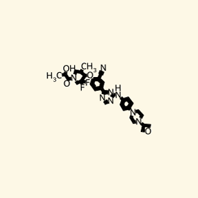 CC(O)C(=O)N1CC(C)C(Oc2ccc(-c3ncnc(Nc4ccc(N5CCN(C6COC6)CC5)cc4)n3)cc2C#N)C(F)(F)C1